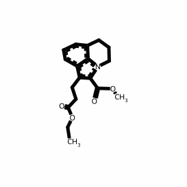 CCOC(=O)CCc1c(C(=O)OC)n2c3c(cccc13)CCC2